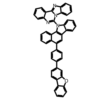 c1ccc2c(c1)nc(-n1c3ccccc3c3cc(-c4ccc(-c5ccc6c(c5)oc5ccccc56)cc4)c4ccccc4c31)n1c3ccccc3nc21